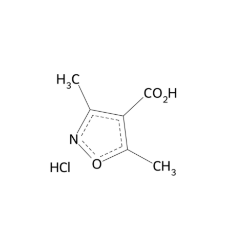 Cc1noc(C)c1C(=O)O.Cl